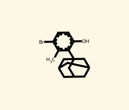 Cc1c(Br)ccc(O)c1C12CC3CC(CC(C3)C1)C2